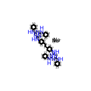 C(=Cc1ccc(Nc2nc(Nc3ccccc3)nc(Nc3ccccc3)n2)cc1)c1ccc(Nc2nc(Nc3ccccc3)nc(Nc3ccccc3)n2)cc1.[Na].[Na]